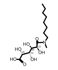 CCCCCCCCN(C)C(=O)[C@@H](O)[C@H](O)[C@H](O)[C@@H](O)C(=O)O